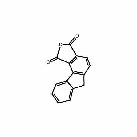 O=C1OC(=O)c2c1ccc1c2-c2ccccc2C1